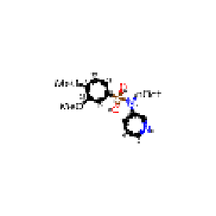 CCCCCCCCN(c1cccnc1)S(=O)(=O)c1ccc(OC)c(OC)c1